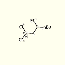 CCCCC(CC)C[SiH](Cl)Cl